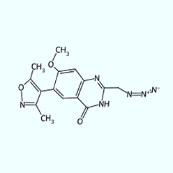 COc1cc2nc(CN=[N+]=[N-])[nH]c(=O)c2cc1-c1c(C)noc1C